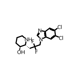 O[C@H]1CCCN[C@@H]1CC(F)(F)Cn1cnc2cc(Cl)c(Cl)cc21